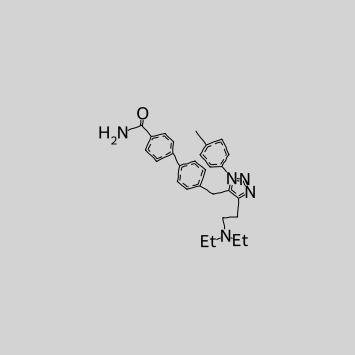 CCN(CC)CCc1nnn(-c2ccc(C)cc2)c1Cc1ccc(-c2ccc(C(N)=O)cc2)cc1